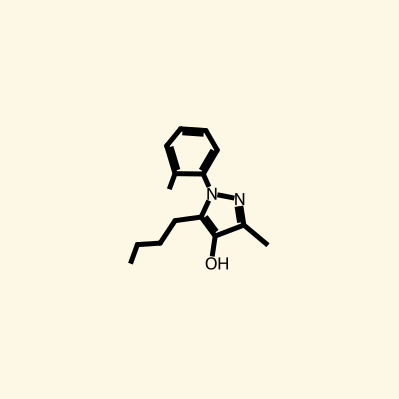 CCCCc1c(O)c(C)nn1-c1ccccc1C